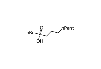 CCCCCCCCP(=O)(O)CCCC